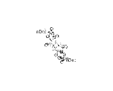 CCCCCCCCCCS(=O)(=O)ON1C(=O)C2C(C1=O)C1C(=O)N(OS(=O)(=O)CCCCCCCCCC)C(=O)C21